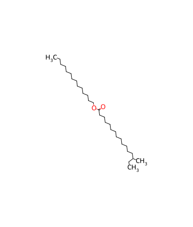 CCCCCCCCCCCCCCOC(=O)CCCCCCCCCCCCC(C)CC